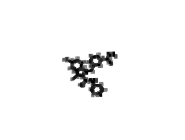 Cc1c(C(=O)Nc2ccncc2)n(Cc2cccc(C(N)=S)c2)c2ccc(F)cc12